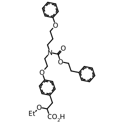 CCOC(Cc1ccc(OCCN(CCCOc2ccccc2)C(=O)OCCc2ccccc2)cc1)C(=O)O